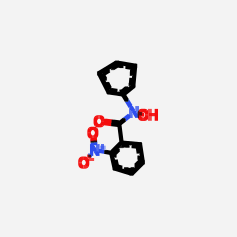 O=C(c1ccccc1[N+](=O)[O-])N(O)c1ccccc1